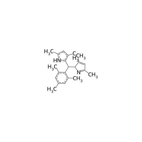 CC1=CC(C)=NC1C(c1[nH]c(C)cc1C)c1c(C)cc(C)cc1C